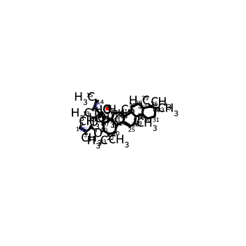 C/C=C(/C)C(=O)O[C@H]1[C@H](OC(=O)/C(C)=C/C)[C@@]2(CO)C(CC1(C)C)C1=CCC3[C@@]4(C)CC[C@H](C)C(C)(C)C4CC[C@@]3(C)[C@]1(C)C[C@H]2O